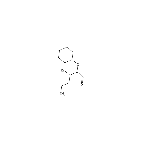 CCCC(Br)C([C]=O)OC1CC[CH]CC1